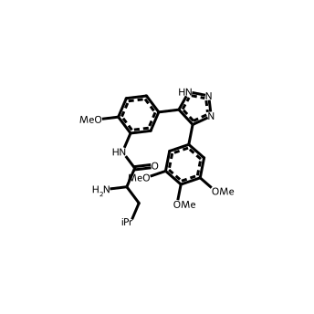 COc1ccc(-c2[nH]nnc2-c2cc(OC)c(OC)c(OC)c2)cc1NC(=O)C(N)CC(C)C